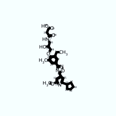 CCc1cc(-c2noc(-c3cc(OC)nc(C4CCCC4)c3)n2)cc(C)c1OCC(O)CNC(=O)CC(=O)O